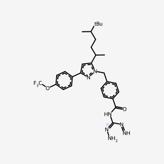 CC(CCC(C)C(C)(C)C)c1cc(-c2ccc(OC(F)(F)F)cc2)nn1Cc1ccc(C(=O)N/C(N=N)=N/N)cc1